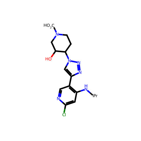 CC(C)Nc1cc(Cl)ncc1-c1cn(C2CCN(C(=O)O)CC2O)nn1